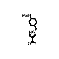 CNC1CCC(Cn2cc(C(=O)I)cn2)CC1